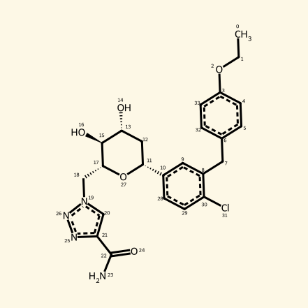 CCOc1ccc(Cc2cc([C@H]3C[C@@H](O)[C@H](O)[C@@H](Cn4cc(C(N)=O)nn4)O3)ccc2Cl)cc1